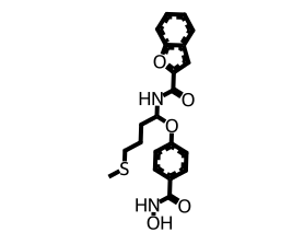 CSCCCC(NC(=O)c1cc2ccccc2o1)Oc1ccc(C(=O)NO)cc1